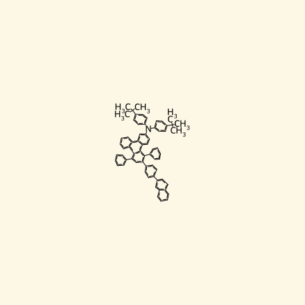 CC(C)(C)c1ccc(N(c2ccc(C(C)(C)C)cc2)c2ccc3c(c2)c2ccccc2c2c(-c4ccccc4)cc(-c4ccc(-c5ccc6ccccc6c5)cc4)c(-c4ccccc4)c32)cc1